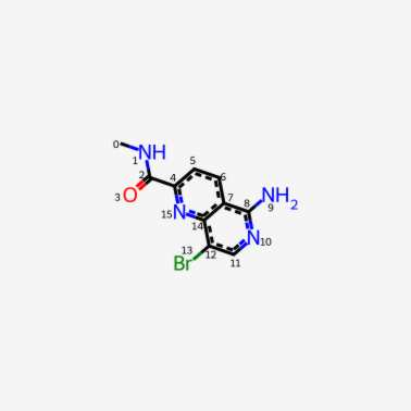 CNC(=O)c1ccc2c(N)ncc(Br)c2n1